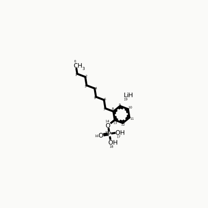 CCCCCCCCc1ccccc1OP(=O)(O)O.[LiH]